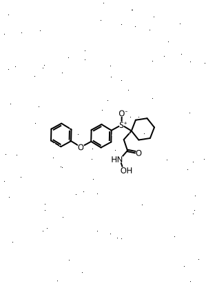 O=C(CC1([S+]([O-])c2ccc(Oc3ccccc3)cc2)CCCCC1)NO